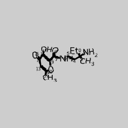 CCC(C)(N)CCNC(=O)c1oc(C)cc(=O)c1O